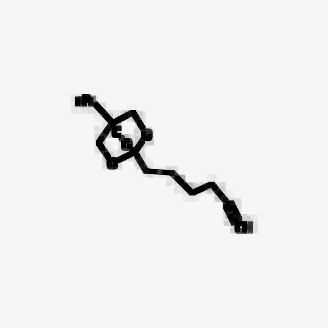 C#CCCCCC12OCC(CCC)(CO1)CO2